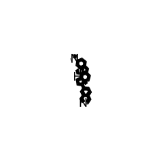 CN(C)[C@@H]1CCC2CC3CCC4(C)C(c5ccc6ccncc6c5)CC[C@H]4[C@@]34CC[C@]2(C1)O4